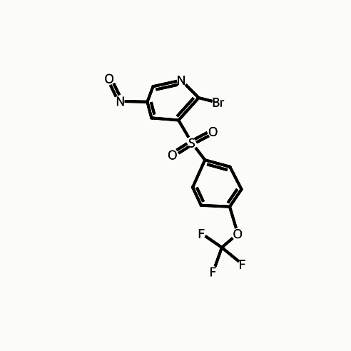 O=Nc1cnc(Br)c(S(=O)(=O)c2ccc(OC(F)(F)F)cc2)c1